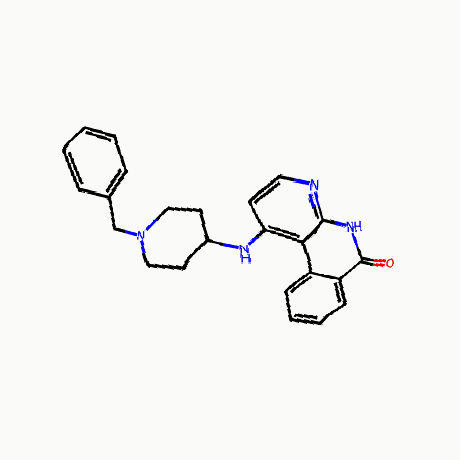 O=c1[nH]c2nccc(NC3CCN(Cc4ccccc4)CC3)c2c2ccccc12